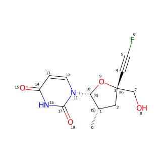 C[C@H]1C[C@@](C#CF)(CO)O[C@H]1n1ccc(=O)[nH]c1=O